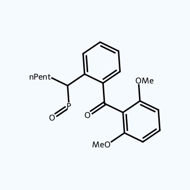 CCCCCC(P=O)c1ccccc1C(=O)c1c(OC)cccc1OC